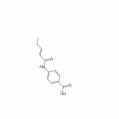 CCC=CC(=O)Nc1ccc(C(=O)O)cc1